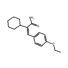 CCOc1ccc(/C=C(\C(N)=O)C2CCCCC2)cc1